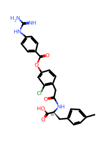 Cc1ccc(C[C@H](NC(=O)Cc2ccc(OC(=O)c3ccc(NC(=N)N)cc3)cc2Cl)C(=O)O)cc1